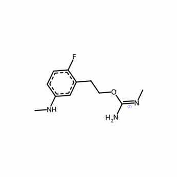 C/N=C(/N)OCCc1cc(NC)ccc1F